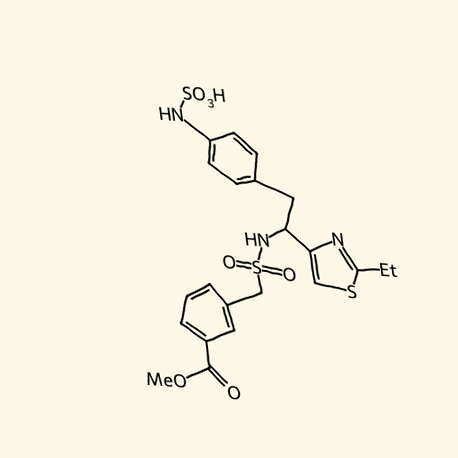 CCc1nc(C(Cc2ccc(NS(=O)(=O)O)cc2)NS(=O)(=O)Cc2cccc(C(=O)OC)c2)cs1